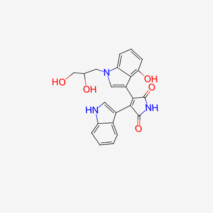 O=C1NC(=O)C(c2cn(CC(O)CO)c3cccc(O)c23)=C1c1c[nH]c2ccccc12